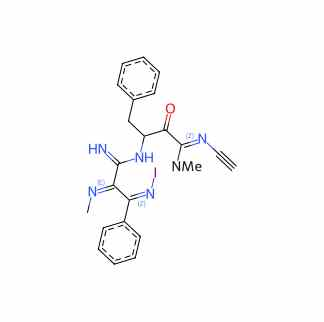 C#C/N=C(\NC)C(=O)C(Cc1ccccc1)NC(=N)C(=N/C)/C(=N\I)c1ccccc1